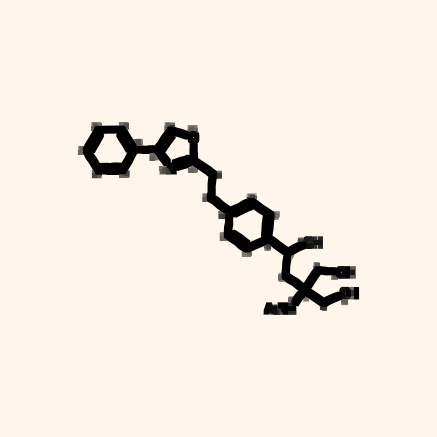 CC(=O)NC(CO)(CO)CC(O)c1ccc(CCc2nc(-c3ccccc3)co2)cc1